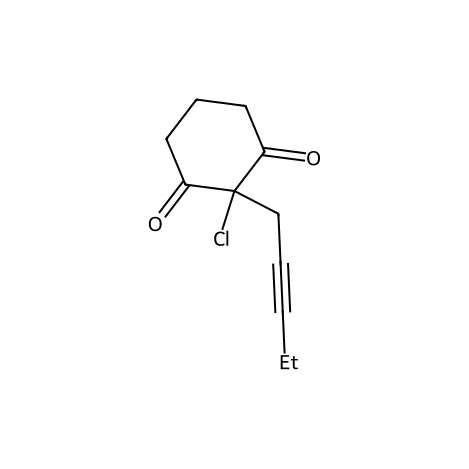 CCC#CCC1(Cl)C(=O)CCCC1=O